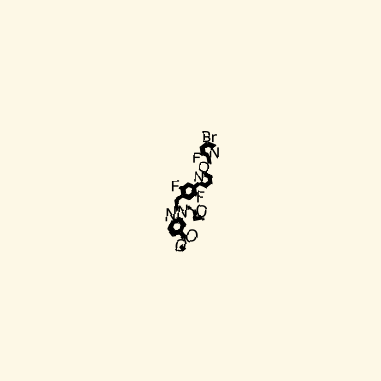 COC(=O)c1ccc2nc(Cc3cc(F)c(-c4cccc(OCc5ncc(Br)cc5F)n4)cc3F)n(C[C@@H]3CCO3)c2c1